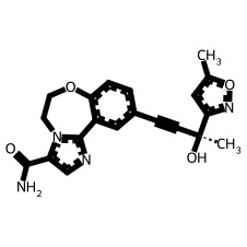 Cc1cc([C@@](C)(O)C#Cc2ccc3c(c2)-c2ncc(C(N)=O)n2CCO3)no1